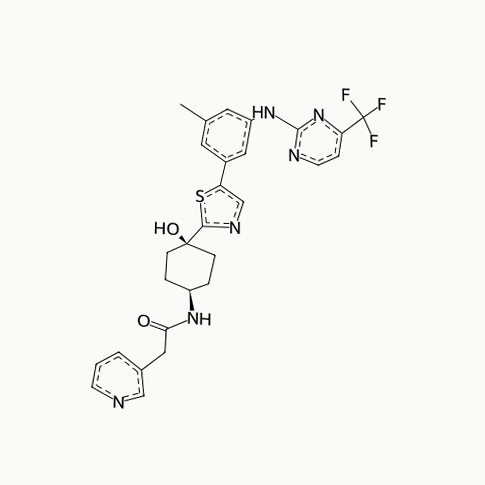 Cc1cc(Nc2nccc(C(F)(F)F)n2)cc(-c2cnc([C@]3(O)CC[C@@H](NC(=O)Cc4cccnc4)CC3)s2)c1